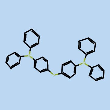 c1ccc([S+](c2ccccc2)c2ccc(Sc3ccc([S+](c4ccccc4)c4ccccc4)cc3)cc2)cc1